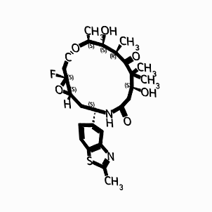 Cc1nc2cc([C@@H]3C[C@@H]4O[C@]4(F)CCO[C@@H](C)[C@@H](O)[C@@H](C)C(=O)C(C)(C)[C@@H](O)CC(=O)N3)ccc2s1